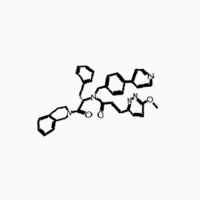 COc1ccc(C=CC(=O)N(Cc2ccc(-c3ccncc3)cc2)[C@@H](Cc2ccccc2)C(=O)N2CCc3ccccc3C2)nn1